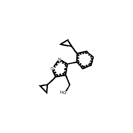 OCc1c(-c2ccccc2C2CC2)noc1C1CC1